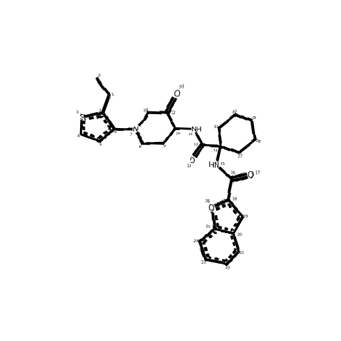 CCc1sccc1N1CCC(NC(=O)C2(NC(=O)c3cc4ccccc4o3)CCCCC2)C(=O)C1